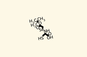 CC(C)(C)OC(=O)C[Se]NC(CS)C(=O)O